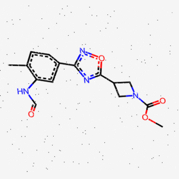 COC(=O)N1CC(c2nc(-c3ccc(C)c(NC=O)c3)no2)C1